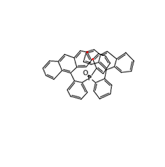 O=P(c1ccccc1)(c1ccccc1-c1c2ccccc2cc2ccccc12)c1ccccc1-c1c2ccccc2cc2ccccc12